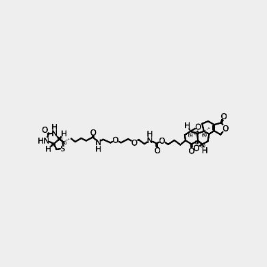 C[C@]12CCC3=C(COC3=O)C1C[C@@H]1O[C@@]13C(=O)C(CCCOC(=O)NCCOCCOCCNC(=O)CCCC[C@@H]1SC[C@@H]4NC(=O)N[C@@H]41)C[C@@H]1O[C@]123